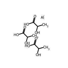 CC(O)C(=O)O.CC(O)C(=O)O.CC(O)C(=O)O.[Al]